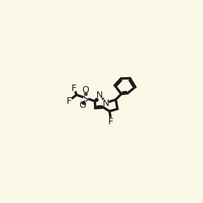 O=S(=O)(c1cc2n(n1)C(c1ccccc1)CC2F)C(F)F